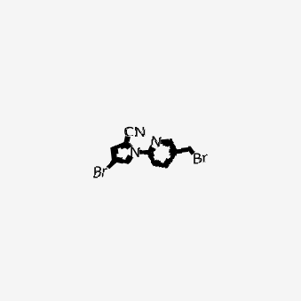 N#Cc1cc(Br)cn1-c1ccc(CBr)cn1